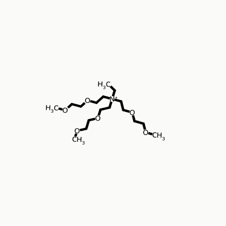 CC[N+](CCOCCOC)(CCOCCOC)CCOCCOC